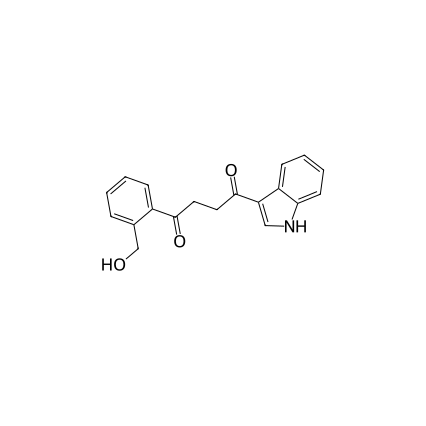 O=C(CCC(=O)c1c[nH]c2ccccc12)c1ccccc1CO